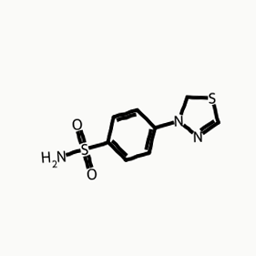 NS(=O)(=O)c1ccc(N2CSC=N2)cc1